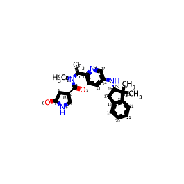 CN(C(=O)[C@H]1CNC(=O)C1)C(c1ccc(N[C@H]2Cc3ccccc3C2(C)C)cn1)C(F)(F)F